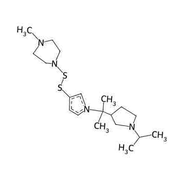 CC(C)N1CCC(C(C)(C)n2ccc(SSN3CCN(C)CC3)c2)C1